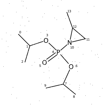 CC(C)OP(=O)(OC(C)C)N1CC1C